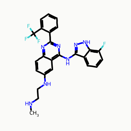 CNCCNc1ccc2nc(-c3ccccc3C(F)(F)F)nc(Nc3n[nH]c4c(F)cccc34)c2c1